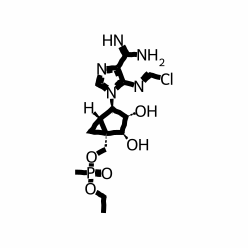 CCOP(C)(=O)OC[C@]12C[C@@H]1[C@@H](n1cnc(C(=N)N)c1/N=C/Cl)[C@H](O)[C@@H]2O